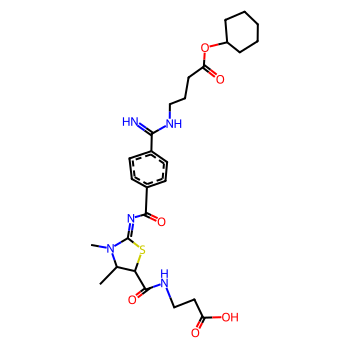 CC1C(C(=O)NCCC(=O)O)SC(=NC(=O)c2ccc(C(=N)NCCCC(=O)OC3CCCCC3)cc2)N1C